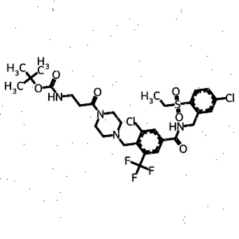 CCS(=O)(=O)c1ccc(Cl)cc1CNC(=O)c1cc(Cl)c(CN2CCN(C(=O)CCNC(=O)OC(C)(C)C)CC2)c(C(F)(F)F)c1